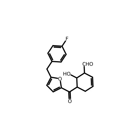 O=CC1C=CCC(C(=O)c2ccc(Cc3ccc(F)cc3)o2)C1O